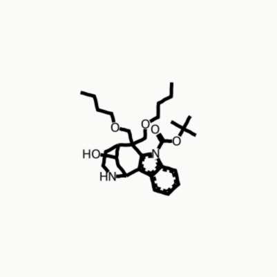 CCCCOCC1(COCCCC)c2c(c3ccccc3n2C(=O)OC(C)(C)C)C2CC(O)C1CCN2